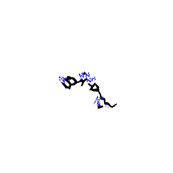 C\C=N/C(=C\C=C\CC)c1ccc(CNc2ncnc(-c3ccc4ncccc4c3)c2C)cc1